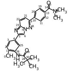 Cc1ccc(-c2cn3nc(-c4ccc(C(=O)N(C)C)cc4)ccc3n2)cc1NC(=O)C(C)(C)C